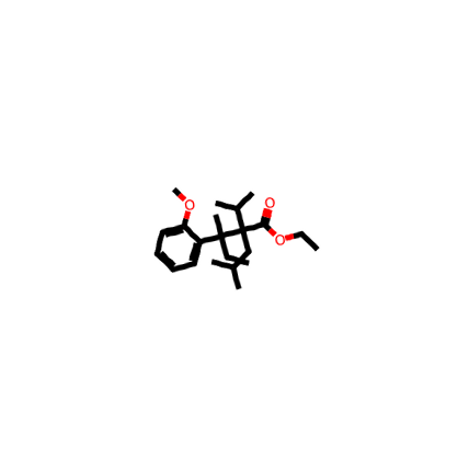 CCOC(=O)C(CC(C)C)(C(C)C)C(C)(CC)c1ccccc1OC